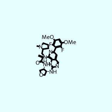 C=CC(=O)N[C@H]1COC[C@H]1Nc1ncc2cc(-c3c(F)c(OC)cc(OC)c3F)nc(NCC3CCCN3C)c2n1